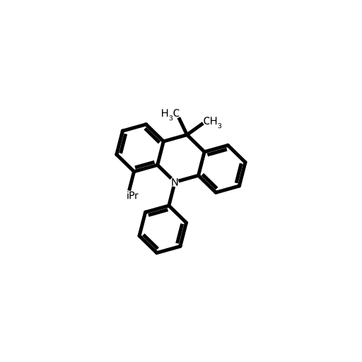 CC(C)c1cccc2c1N(c1ccccc1)c1ccccc1C2(C)C